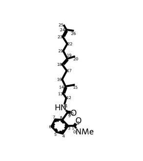 CNC(=O)c1ccccc1C(=O)NC/C=C(\C)CC/C=C(\C)CCC=C(C)C